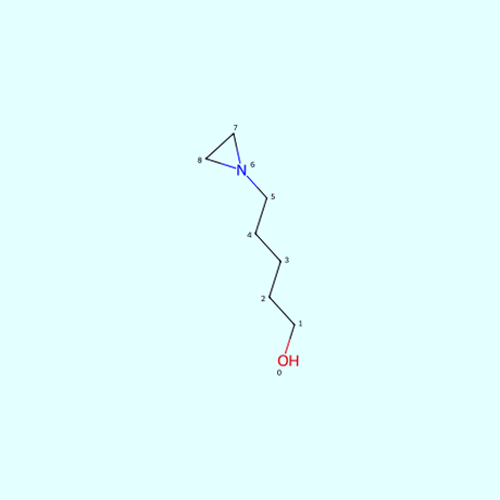 OCCCCCN1CC1